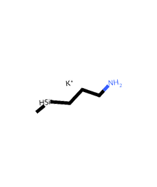 C[SiH-]CCCN.[K+]